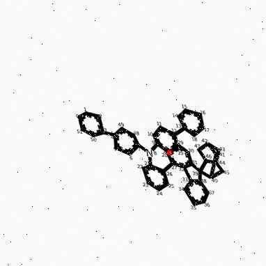 c1ccc(-c2ccc(N(c3ccc(-c4ccccc4)cc3)c3ccccc3-c3cccc4c3-c3ccccc3C43C4CC5CC(C4)C3C5)cc2)cc1